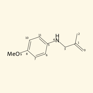 C=C(C)CNc1ccc(OC)cc1